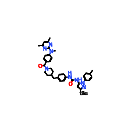 Cc1ccc(-n2nc(C(C)(C)C)cc2NC(=O)Nc2ccc(CC3CCN(C(=O)c4ccc(N(C)c5nc(C)cc(C)n5)cc4)CC3)cc2)cc1